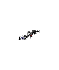 CCCc1ccc(-c2cc(F)c(C#CC3CCC(/C=C/F)CC3)c(F)c2)nc1